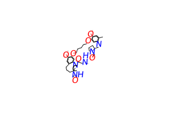 CNCC(=O)N1CC(NC=O)CCCc2cc(OC)c(OCCCCCOc3cc(/N=C\C4CCCN4C=O)c(C)cc3OC)cc21